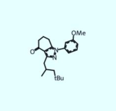 COc1cccc(-n2nc(CC(C)CC(C)(C)C)c3c2CCCC3=O)c1